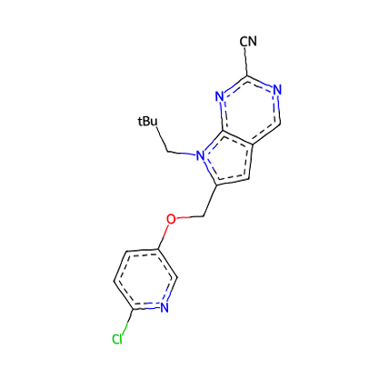 CC(C)(C)Cn1c(COc2ccc(Cl)nc2)cc2cnc(C#N)nc21